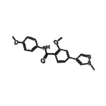 COc1ccc(NC(=O)c2ccc(-c3cnn(C)c3)cc2OC)cc1